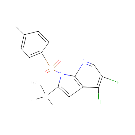 CCC[CH2][Sn]([CH2]CCC)([CH2]CCC)[c]1cc2c(Cl)c(F)cnc2n1S(=O)(=O)c1ccc(C)cc1